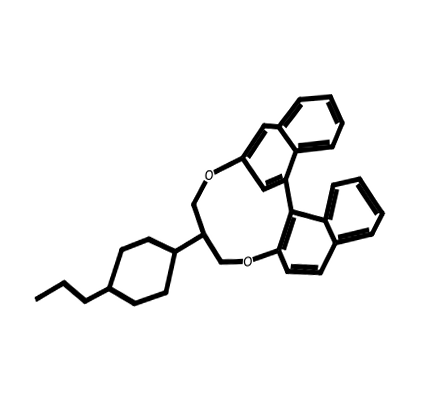 CCCC1CCC(C2COc3cc(c4ccccc4c3)-c3c(ccc4ccccc34)OC2)CC1